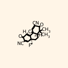 CC1(C)C(=O)C(C#N)=CC2(C)C3=CC(=O)C(C#N)=C[C@]3(CF)CC[C@@H]12